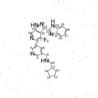 Fc1c(-c2cncc(CNCC3CCCC3)c2)ncc2[nH]nc(-c3nc4ccccc4[nH]3)c12